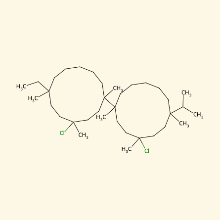 CCC1(C)CCCCCC(C)(C2(C)CCCCCC(C)(C(C)C)CCC(C)(Cl)CC2)CCC(C)(Cl)CC1